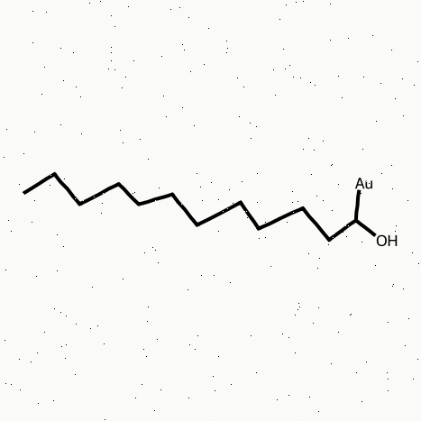 CCCCCCCCCCC[CH](O)[Au]